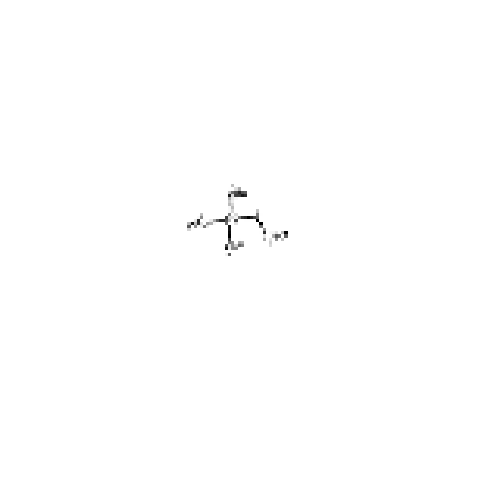 CCC[CH2][Sn]([CH2]C=O)([CH2]CCC)[CH2]CCC